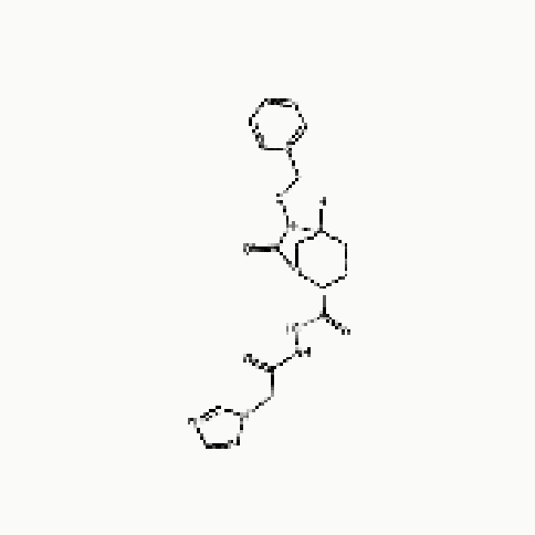 O=C(Cn1ccnc1)NNC(=O)[C@@H]1CC[C@@H]2CN1C(=O)N2OCc1ccccc1